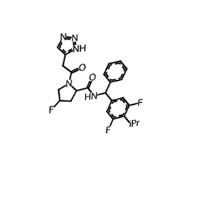 CC(C)c1c(F)cc(C(NC(=O)C2CC(F)CN2C(=O)Cc2cnn[nH]2)c2ccccc2)cc1F